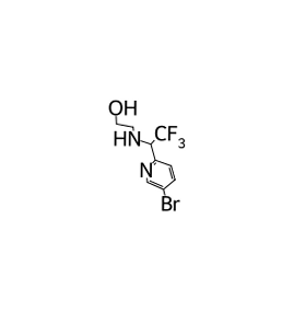 OCCNC(c1ccc(Br)cn1)C(F)(F)F